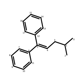 CC(C)CC=C(c1ccccc1)c1ccccc1